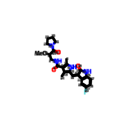 COC(CNC(=O)c1c(C)[nH]c(/C=C2\C(=O)Nc3ccc(F)cc32)c1C)C(=O)N1CCCC1